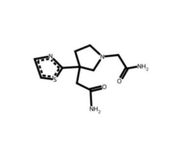 NC(=O)CN1CCC(CC(N)=O)(c2nccs2)C1